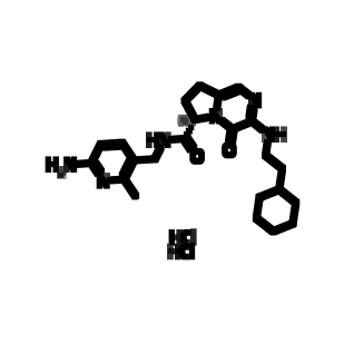 Cc1nc(N)ccc1CNC(=O)[C@@H]1CCc2cnc(NCCC3CCCCC3)c(=O)n21.Cl.Cl